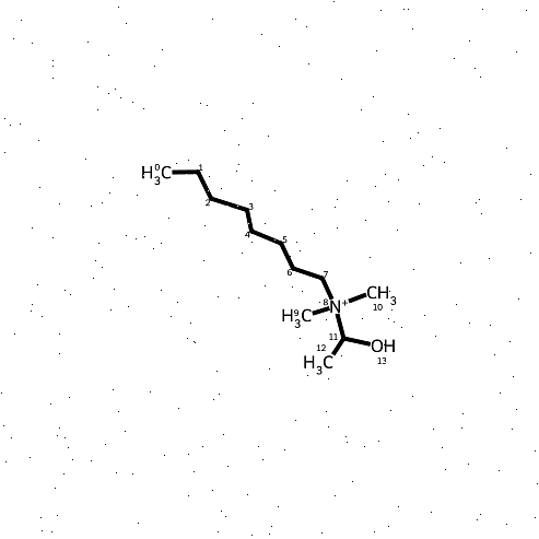 CCCCCCCC[N+](C)(C)C(C)O